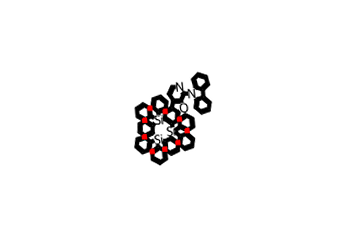 c1ccc([Si]2(c3ccccc3)c3ccccc3[Si](c3ccccc3)(c3ccccc3)c3cc4oc5c(-n6c7ccccc7c7ccccc76)nccc5c4cc3[Si](c3ccccc3)(c3ccccc3)c3ccccc32)cc1